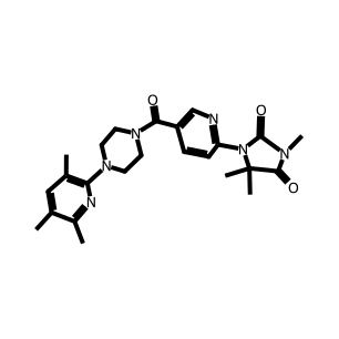 Cc1cc(C)c(N2CCN(C(=O)c3ccc(N4C(=O)N(C)C(=O)C4(C)C)nc3)CC2)nc1C